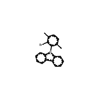 Cc1ccc(C)c(-n2c3ccccc3c3ccccc32)c1Br